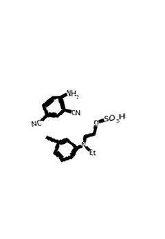 CCN(CCOS(=O)(=O)O)c1cccc(C)c1.N#Cc1ccc(N)c(C#N)c1